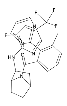 Cc1cccc(C(=O)N2C3CCC2C(Nc2ncc(C(F)(F)F)cc2F)C3)c1-c1ncccn1